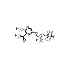 Cc1ncc(OC[C@H](C)NS(=O)(=O)C(F)(F)F)cc1C(N)=O